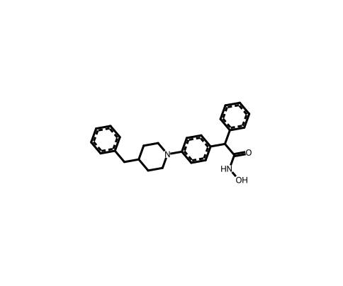 O=C(NO)C(c1ccccc1)c1ccc(N2CCC(Cc3ccccc3)CC2)cc1